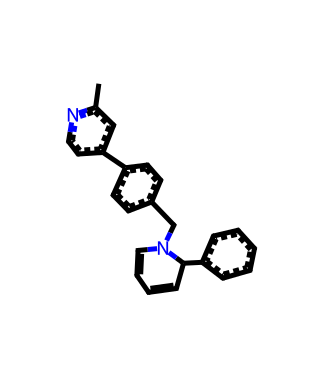 Cc1cc(-c2ccc(CN3C=CC=CC3c3ccccc3)cc2)ccn1